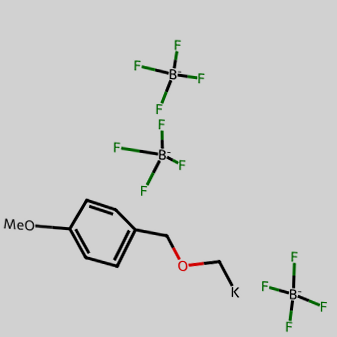 COc1ccc(CO[CH2][K])cc1.F[B-](F)(F)F.F[B-](F)(F)F.F[B-](F)(F)F